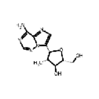 C[C@H]1[C@H](O)[C@@H](CO)O[C@H]1c1cnc2c(N)ncnn12